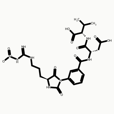 CC(C)[C@H](NC(=O)[C@H](CC(=O)O)NC(=O)c1cccc(N2C(=O)N[C@@H](CCCNC(=N)N[N+](=O)[O-])C2=O)c1)C(=O)O